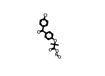 CC(C)(Oc1ccc(C(=O)c2ccc(Cl)cc2)cc1)C(=O)ON=O